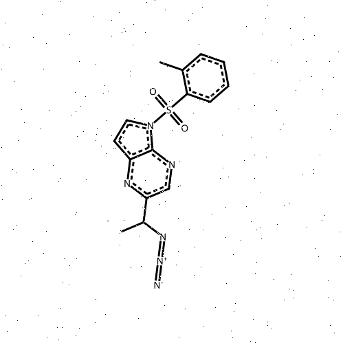 Cc1ccccc1S(=O)(=O)n1ccc2nc(C(C)N=[N+]=[N-])cnc21